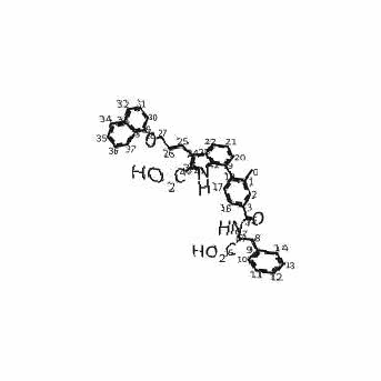 Cc1cc(C(=O)N[C@@H](Cc2ccccc2)C(=O)O)ccc1-c1cccc2c(CCCOc3cccc4ccccc34)c(C(=O)O)[nH]c12